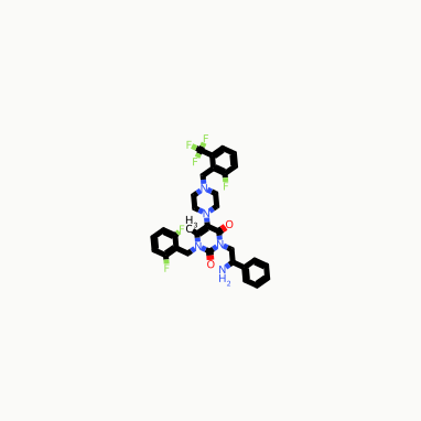 Cc1c(N2CCN(Cc3c(F)cccc3C(F)(F)F)CC2)c(=O)n(CC(N)c2ccccc2)c(=O)n1Cc1c(F)cccc1F